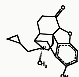 C[N@@+]1(CC2CC2)CC[C@@]23c4c5ccc(O)c4CC1C2CCC(=O)C3O5